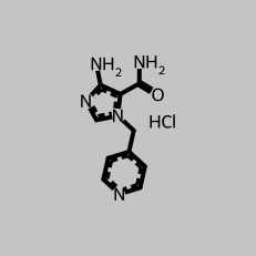 Cl.NC(=O)c1c(N)ncn1Cc1ccncc1